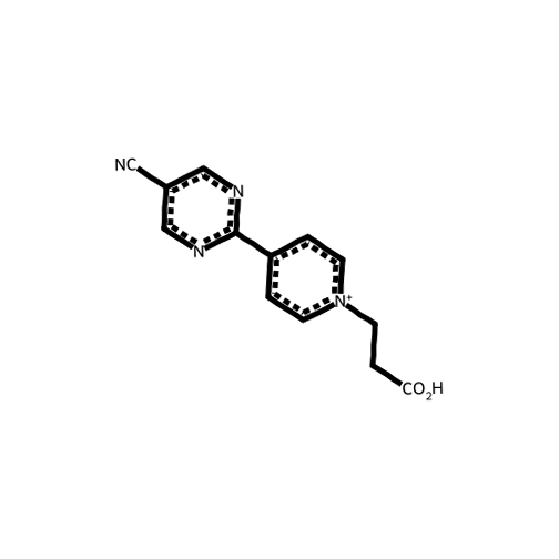 N#Cc1cnc(-c2cc[n+](CCC(=O)O)cc2)nc1